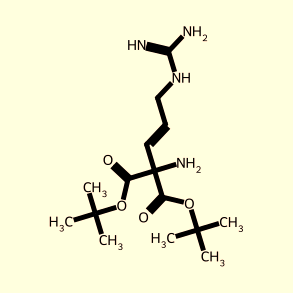 CC(C)(C)OC(=O)C(N)(/C=C/CNC(=N)N)C(=O)OC(C)(C)C